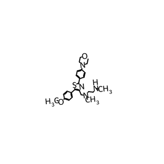 CNCCN(C)Cc1nc(-c2ccc(N3CCOCC3)cc2)sc1-c1ccc(OC)cc1